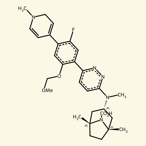 COCOc1cc(C2=CCN(C)C=C2)c(F)cc1-c1ccc(N(C)[C@@H]2C[C@]3(C)CC[C@](C)(C2)N3C(=O)O)nn1